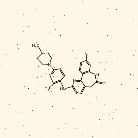 Cc1nc(N2CCN(C)CC2)ccc1Nc1ncc2c(n1)-c1ccc(Cl)cc1NC(=O)C2